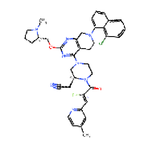 Cc1ccnc(/C=C(\F)C(=O)N2CCN(c3nc(OC[C@@H]4CCCN4C)nc4c3CCN(c3cccc5cccc(Cl)c35)C4)C[C@@H]2CC#N)c1